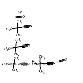 CC(C)(C)C#N.CC(C)(C)C#N.CC(C)(C)C#N.CC(C)(C)C#N.[C]=O.[C]=O.[W]